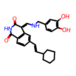 O=C1NC(=O)c2ccc(/C=C/C3CCCCC3)cc2/C1=C\NCc1ccc(O)c(O)c1